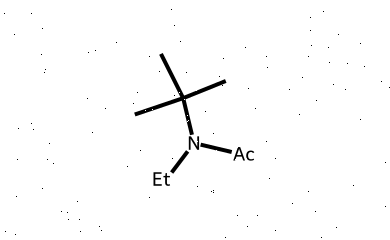 CCN(C(C)=O)C(C)(C)C